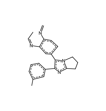 C=Nc1ccc(-c2c(-c3cccc(C)c3)nc3n2CCC3)cc1/N=C\C